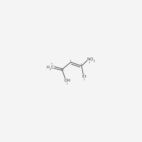 C=C(O)/C=C(\CC)[N+](=O)[O-]